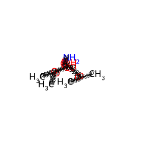 CCCCCCCCC(CCCCCCCC)OC(=O)CCCCCCC(=O)OCC(COP(=O)(O)OCCN)OC(=O)CCCCCCC(=O)OC(CCCCCCCC)CCCCCCCC